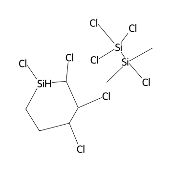 C[Si](C)(Cl)[Si](Cl)(Cl)Cl.ClC1CC[SiH](Cl)C(Cl)C1Cl